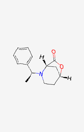 C[C@@H](c1ccccc1)N1CC[C@@H]2C[C@H]1C(=O)O2